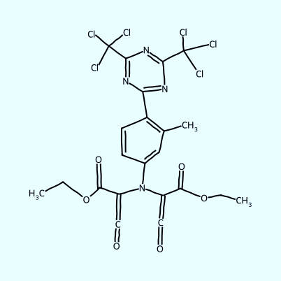 CCOC(=O)C(=C=O)N(C(=C=O)C(=O)OCC)c1ccc(-c2nc(C(Cl)(Cl)Cl)nc(C(Cl)(Cl)Cl)n2)c(C)c1